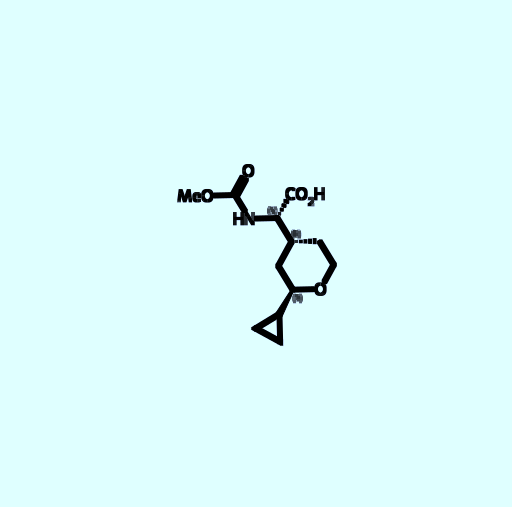 COC(=O)N[C@H](C(=O)O)[C@@H]1CCO[C@@H](C2CC2)C1